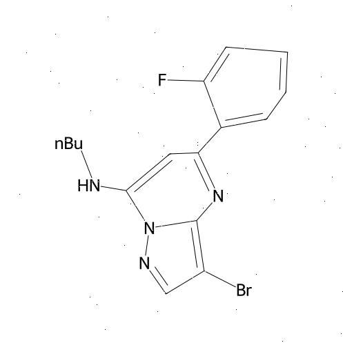 CCCCNc1cc(-c2ccccc2F)nc2c(Br)cnn12